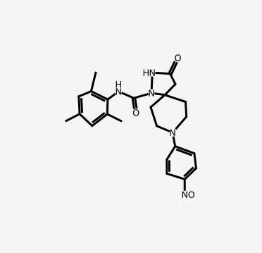 Cc1cc(C)c(NC(=O)N2NC(=O)CC23CCN(c2ccc(N=O)cc2)CC3)c(C)c1